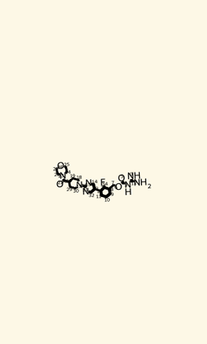 N=C(N)NC(=O)OCc1cccc(-c2cnc(N3CCC(C(=O)N4CCOCC4)CC3)nc2)c1F